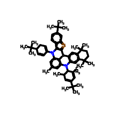 CC1=CC(C(C)(C)C)=CC(C)C1N1c2cc3c(cc2B2c4sc5cc(C(C)(C)C)ccc5c4N(C4=CCC(C(C)(C)C)C=C4)c4cc(C)cc1c42)C(C)(C)CCC3(C)C